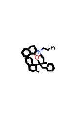 C=C(/C=C1\Oc2c(ccc3ccccc23)N1CCC(C)C)C(C)(Cc1ccccc1)c1c(C)ccc2ccccc12